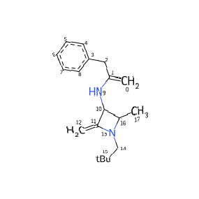 C=C(Cc1ccccc1)NC1C(=C)N(CC(C)(C)C)C1C